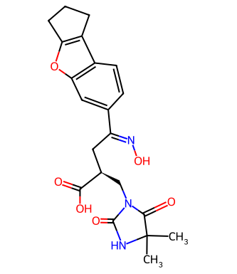 CC1(C)NC(=O)N(C[C@H](CC(=NO)c2ccc3c4c(oc3c2)CCC4)C(=O)O)C1=O